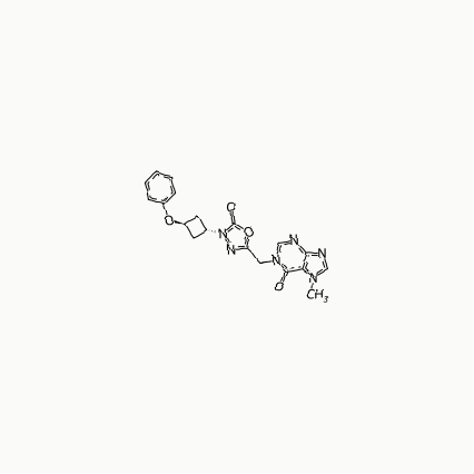 Cn1cnc2ncn(Cc3nn([C@H]4C[C@H](Oc5ccccc5)C4)c(=O)o3)c(=O)c21